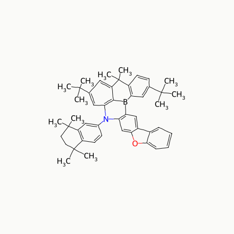 CC(C)(C)c1ccc2c(c1)B1c3cc4c(cc3N(c3ccc5c(c3)C(C)(C)CCC5(C)C)c3cc(C(C)(C)C)cc(c31)C2(C)C)oc1ccccc14